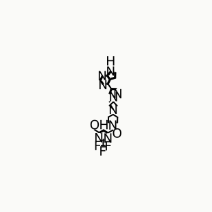 O=C(c1cc(CO)nc(C(F)(F)F)n1)N1CCC(N2C[C](n3cc(-c4ncnc5[nH]ccc45)cn3)C2)CC1